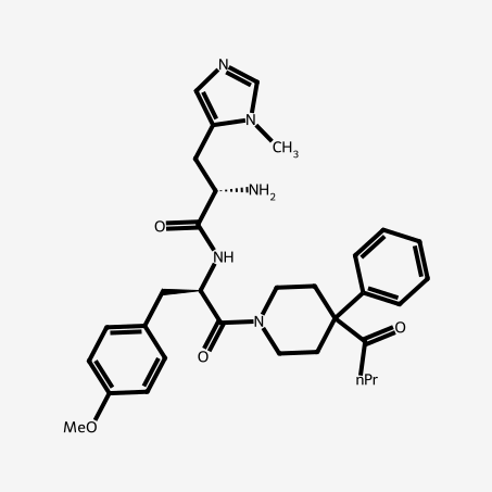 CCCC(=O)C1(c2ccccc2)CCN(C(=O)[C@@H](Cc2ccc(OC)cc2)NC(=O)[C@@H](N)Cc2cncn2C)CC1